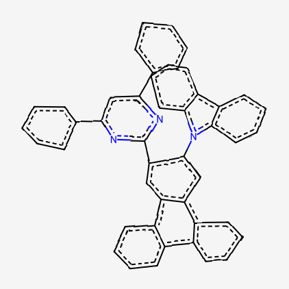 c1ccc(-c2cc(-c3ccccc3)nc(-c3cc4c5ccccc5c5ccccc5c4cc3-n3c4ccccc4c4ccccc43)n2)cc1